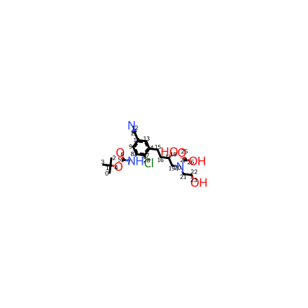 CC(C)(C)OC(=O)Nc1cc(C#N)cc(CCC(O)CN(CCO)C(=O)O)c1Cl